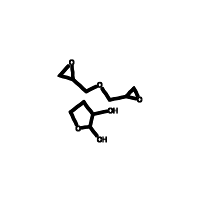 C(OCC1CO1)C1CO1.OC1CCOC1O